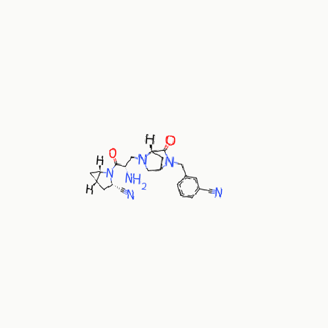 N#Cc1cccc(CN2C(=O)[C@@H]3CC2CN3C[C@H](N)C(=O)N2[C@H](C#N)C[C@@H]3C[C@@H]32)c1